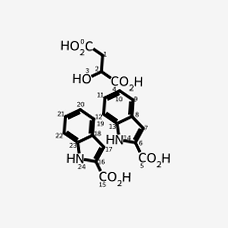 O=C(O)CC(O)C(=O)O.O=C(O)c1cc2ccccc2[nH]1.O=C(O)c1cc2ccccc2[nH]1